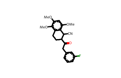 COc1cc(OC)c2c(c1OC)CCC(C(=O)Cc1cccc(F)c1)C2C#N